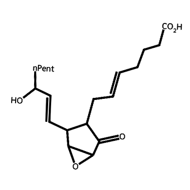 CCCCCC(O)C=CC1C(CC=CCCCC(=O)O)C(=O)C2OC21